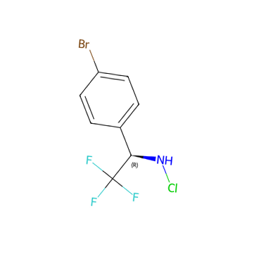 FC(F)(F)[C@H](NCl)c1ccc(Br)cc1